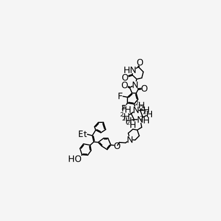 [2H]C1([2H])N(CC2CCN(CCOc3ccc(C(=C(CC)c4ccccc4)c4ccc(O)cc4)cc3)CC2)C([2H])([2H])C([2H])([2H])N(c2cc3c(c(F)c2F)C(=O)N(C2CCC(=O)NC2=O)C3=O)C1([2H])[2H]